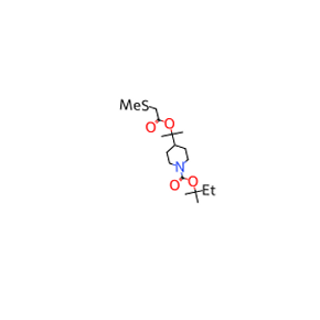 CCC(C)(C)OC(=O)N1CCC(C(C)(C)OC(=O)CSC)CC1